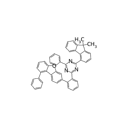 CC1(C)c2ccccc2-c2c(-c3nc(-c4ccccc4)nc(-c4ccccc4-c4ccc5c(c4)oc4cccc(-c6ccccc6)c45)n3)cccc21